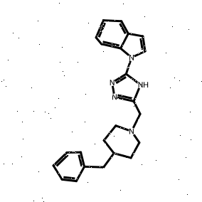 c1ccc(CC2CCN(Cc3nnc(-n4ccc5ccccc54)[nH]3)CC2)cc1